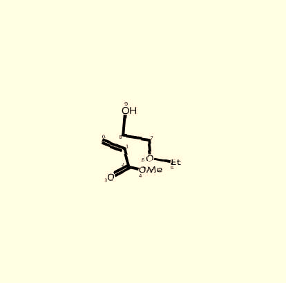 C=CC(=O)OC.CCOCCO